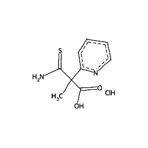 CC(C(=O)O)(C(N)=S)c1ccccn1.Cl